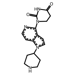 O=C1CCN(c2nccc3c2ccn3C2CCNCC2)C(=O)N1